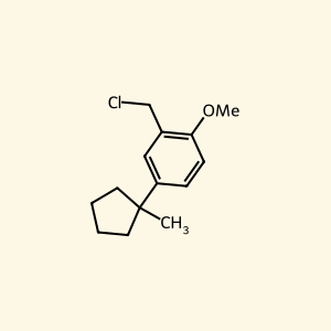 COc1ccc(C2(C)CCCC2)cc1CCl